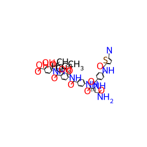 CC(C)Oc1c(NC(=O)c2ccc(NC(=O)c3ccc(NC(=O)[C@H](CC(N)=O)NC(=O)c4ccc(NC(=O)c5ccc(C#N)s5)cc4)cc3)c(OC(C)C)c2O)ccc(C(=O)O)c1O